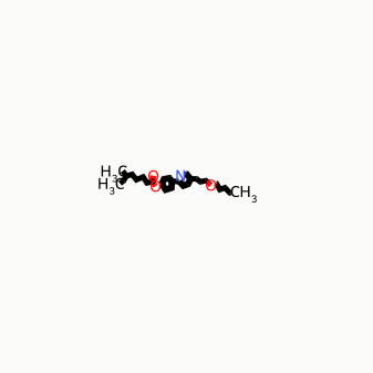 CCCCCOCCCc1ccc(-c2ccc(OC(=O)CCCCC(C)CC)cc2)nc1